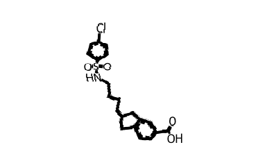 O=C(O)c1ccc2c(c1)CC(CCCCNS(=O)(=O)c1ccc(Cl)cc1)C2